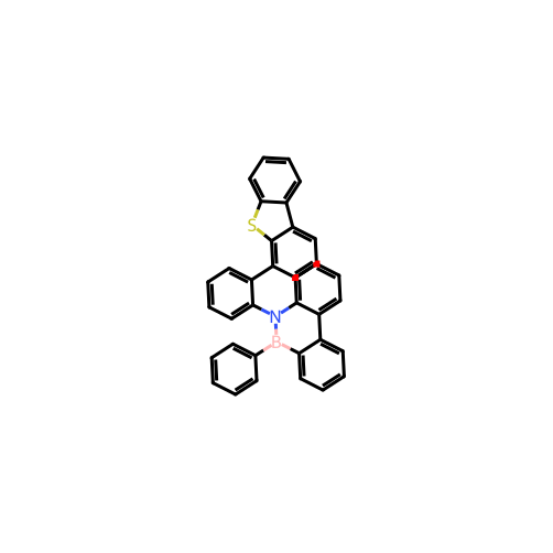 c1ccc(B2c3ccccc3-c3ccccc3N2c2ccccc2-c2cccc3c2sc2ccccc23)cc1